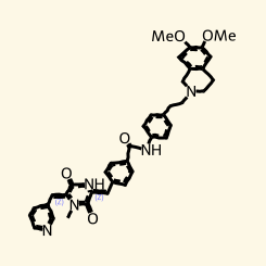 COc1cc2c(cc1OC)CN(CCc1ccc(NC(=O)c3ccc(/C=c4\[nH]c(=O)/c(=C/c5cccnc5)n(C)c4=O)cc3)cc1)CC2